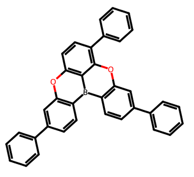 c1ccc(-c2ccc3c(c2)Oc2ccc(-c4ccccc4)c4c2B3c2ccc(-c3ccccc3)cc2O4)cc1